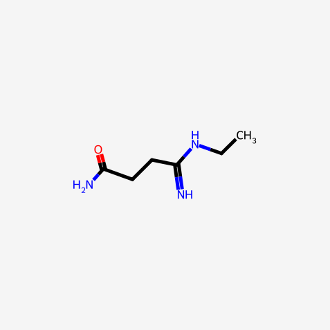 CCNC(=N)CCC(N)=O